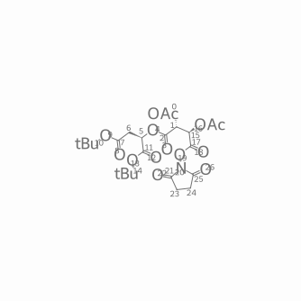 CC(=O)O[C@@H](C(=O)O[C@H](CC(=O)OC(C)(C)C)C(=O)OC(C)(C)C)[C@@H](OC(C)=O)C(=O)ON1C(=O)CCC1=O